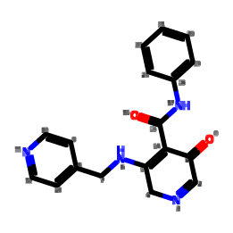 O=C1C=NCC(NCc2ccncc2)=C1C(=O)Nc1ccccc1